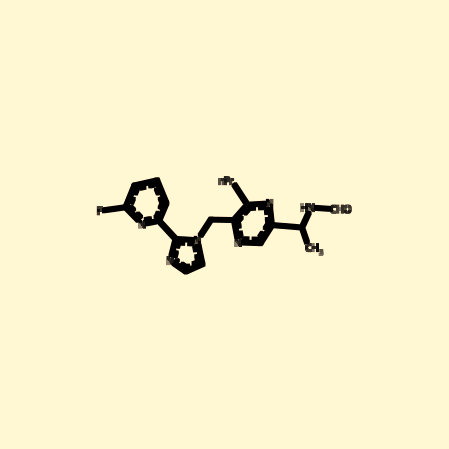 CCCc1nc(C(C)NC=O)cnc1Cn1ccnc1-c1cccc(F)n1